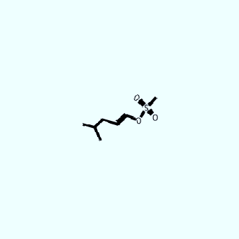 CC(C)CC=COS(C)(=O)=O